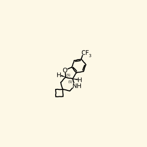 FC(F)(F)c1ccc2c(c1)O[C@H]1CC3(CCC3)CN[C@@H]21